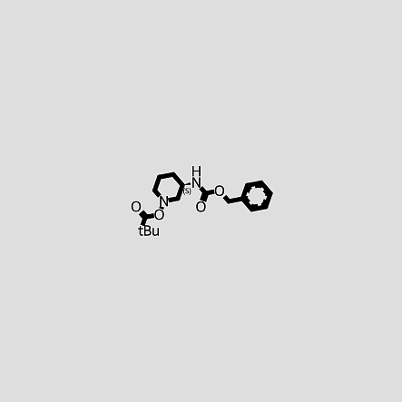 CC(C)(C)C(=O)ON1CCC[C@H](NC(=O)OCc2ccccc2)C1